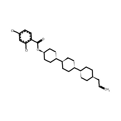 C=CC[C@H]1CC[C@H]([C@H]2CC[C@H]([C@H]3CC[C@H](OC(=O)c4ccc(Cl)cc4Cl)CC3)CC2)CC1